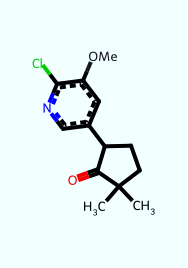 COc1cc(C2CCC(C)(C)C2=O)cnc1Cl